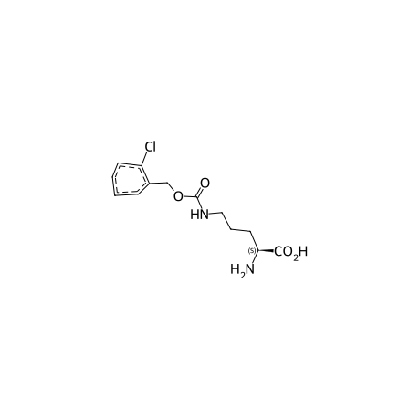 N[C@@H](CCCNC(=O)OCc1ccccc1Cl)C(=O)O